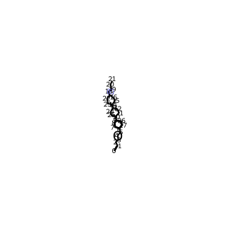 C=CCCOCc1ccc(C2CCC(C3CCC(/C=C/CC)CC3)CC2)cc1